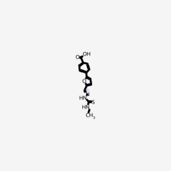 CCNC(=S)N/N=C/c1ccc(-c2ccc(C(=O)O)cc2)o1